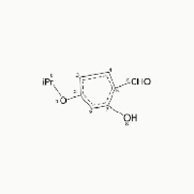 CC(C)Oc1ccc(C=O)c(O)c1